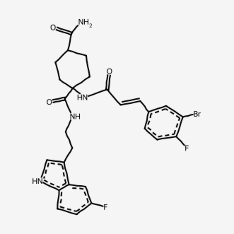 NC(=O)C1CCC(NC(=O)C=Cc2ccc(F)c(Br)c2)(C(=O)NCCc2c[nH]c3ccc(F)cc23)CC1